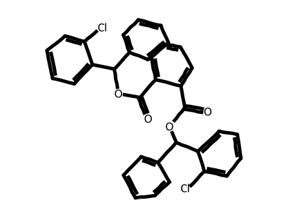 O=C(OC(c1ccccc1)c1ccccc1Cl)c1ccccc1C(=O)OC(c1ccccc1)c1ccccc1Cl